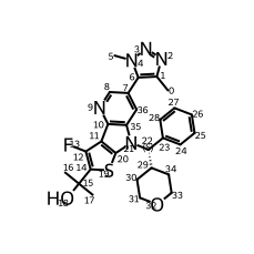 Cc1nnn(C)c1-c1cnc2c3c(F)c(C(C)(C)O)sc3n([C@H](c3ccccc3)C3CCOCC3)c2c1